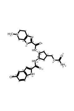 CN1CCc2nc(C(=O)N[C@@H]3CC(COC(N)=O)C[C@H]3NC(=O)c3cc4cc(Cl)ccc4[nH]3)sc2C1